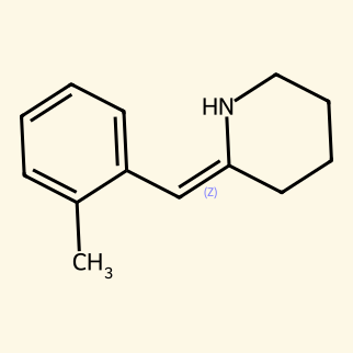 Cc1ccccc1/C=C1/CCCCN1